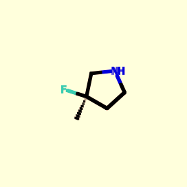 C[C@@]1(F)CCNC1